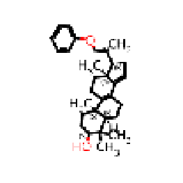 C[C@H](COc1ccccc1)[C@H]1CC=C2C3=C(CC[C@@]21C)[C@@]1(C)CC[C@H](O)C(C)(C)[C@@H]1CC3